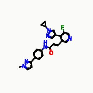 Cn1ccc(-c2ccc(NC(=O)C=Cc3cncc(F)c3-c3cnn(C4CC4)c3)cc2)n1